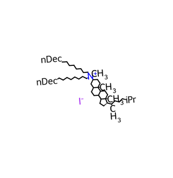 CCCCCCCCCCCCCCCCCC[N+](C)(CCCCCCCCCCCCCCCCCC)[C@@H]1CC[C@@]2(C)C(CCC3C2CC[C@@]2(C)C3CC[C@@H]2[C@H](C)CCCC(C)C)C1.[I-]